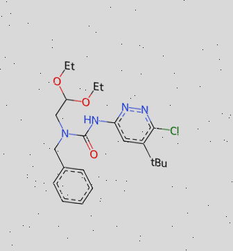 CCOC(CN(Cc1ccccc1)C(=O)Nc1cc(C(C)(C)C)c(Cl)nn1)OCC